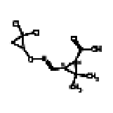 CC1(C)[C@H](C(=O)O)[C@@H]1C=NOC1CC1(Cl)Cl